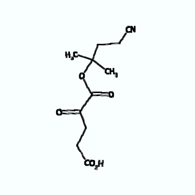 CC(C)(CCC#N)OC(=O)C(=O)CCC(=O)O